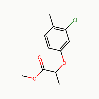 COC(=O)C(C)Oc1ccc(C)c(Cl)c1